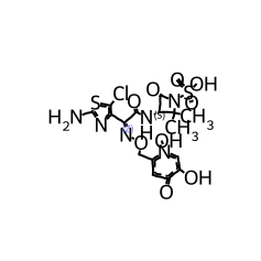 CC1(C)[C@H](NC(=O)/C(=N\OCc2cc(=O)c(O)cn2O)c2nc(N)sc2Cl)C(=O)N1S(=O)(=O)O